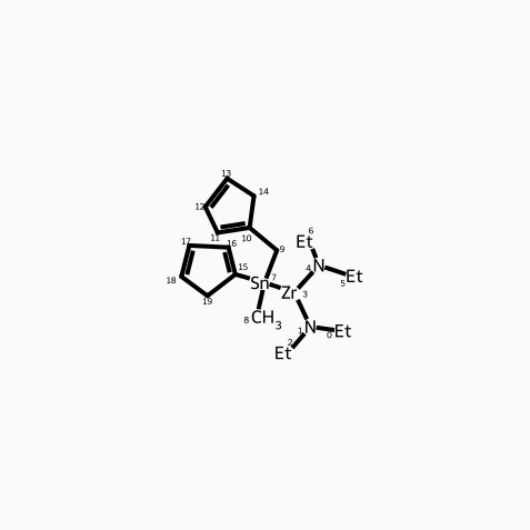 CC[N](CC)[Zr]([N](CC)CC)[Sn]([CH3])([CH2]C1=CC=CC1)[C]1=CC=CC1